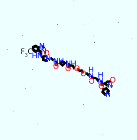 CN1C(=O)C[C@H](C(=O)NCCC(=O)NCCOCCOCCC(=O)N[C@H]2C[C@@H](C(=O)NCCN3CC[C@H](Nc4ncnc5ccc(C(F)(F)F)cc45)C3=O)C2)[C@H]1c1cccnc1